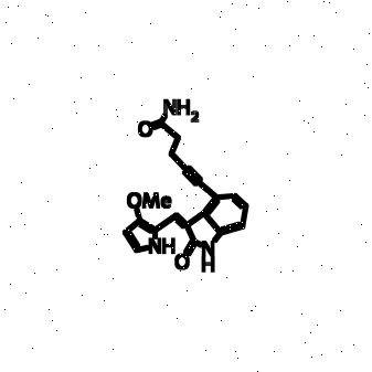 COc1cc[nH]c1C=C1C(=O)Nc2cccc(C#CCCC(N)=O)c21